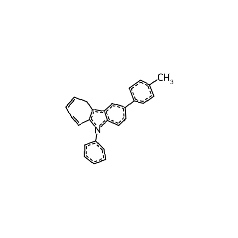 Cc1ccc(-c2ccc3c(c2)c2c(n3-c3ccccc3)C=CC=CC2)cc1